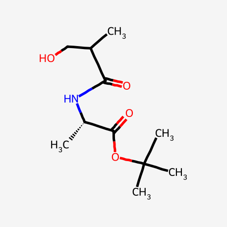 CC(CO)C(=O)N[C@@H](C)C(=O)OC(C)(C)C